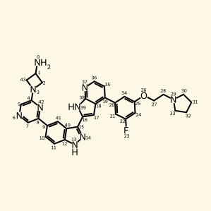 NC1CN(c2cncc(-c3ccc4[nH]nc(-c5cc6c(-c7cc(F)cc(OCCN8CCCC8)c7)ccnc6[nH]5)c4c3)n2)C1